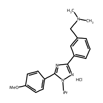 COc1ccc(-c2nc(-c3cccc(CN(C)C)c3)nn2C(C)C)cc1.Cl